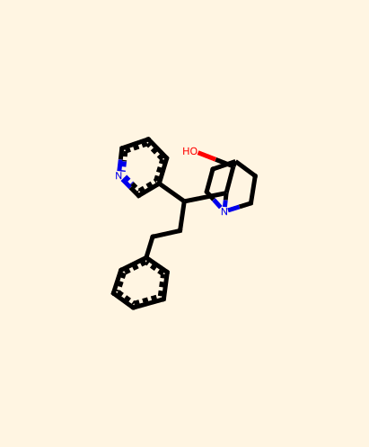 OC1C2CCN(CC2)C1C(CCc1ccccc1)c1cccnc1